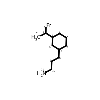 CC(C)C(C)C1CCCC(CCCN)C1